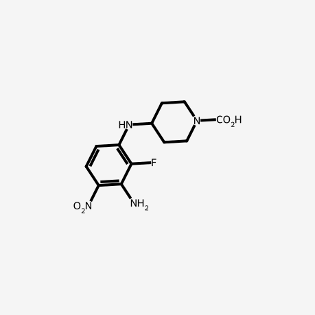 Nc1c([N+](=O)[O-])ccc(NC2CCN(C(=O)O)CC2)c1F